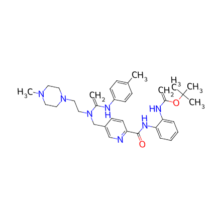 C=C(Nc1ccccc1NC(=O)c1ccc(CN(CCN2CCN(C)CC2)C(=C)Nc2ccc(C)cc2)cn1)OC(C)(C)C